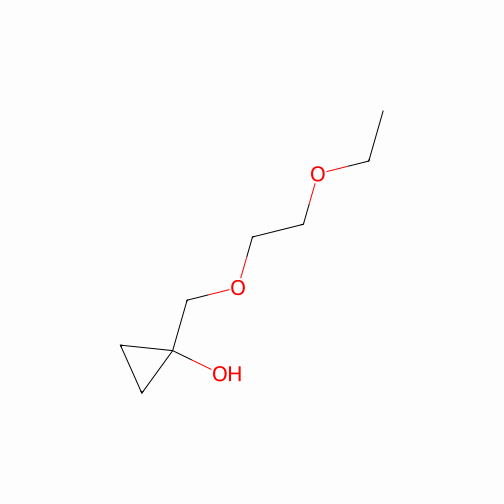 CCOCCOCC1(O)CC1